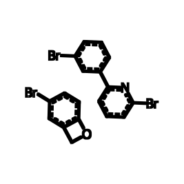 Brc1ccc2c(c1)CO2.Brc1cccc(-c2cccc(Br)n2)c1